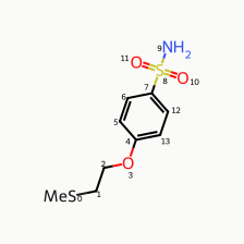 CSCCOc1ccc(S(N)(=O)=O)cc1